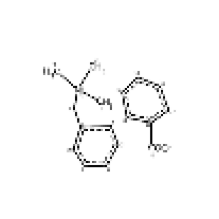 C[N+](C)(C)Cc1ccccc1.O=C([O-])c1ccccc1